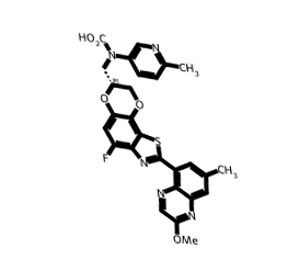 COc1cnc2c(-c3nc4c(F)cc5c(c4s3)OC[C@@H](CN(C(=O)O)c3ccc(C)nc3)O5)cc(C)cc2n1